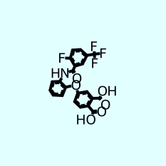 O=C(Nc1ccccc1Oc1ccc(C(=O)O)c(C(=O)O)c1)c1cc(C(F)(F)F)ccc1F